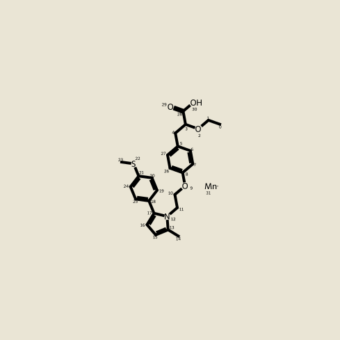 CCOC(Cc1ccc(OCCn2c(C)ccc2-c2ccc(SC)cc2)cc1)C(=O)O.[Mn]